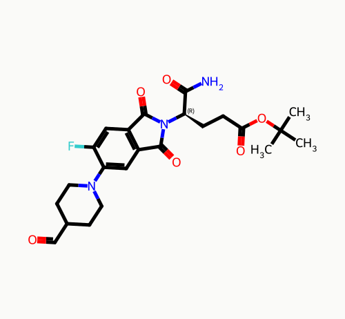 CC(C)(C)OC(=O)CC[C@H](C(N)=O)N1C(=O)c2cc(F)c(N3CCC(C=O)CC3)cc2C1=O